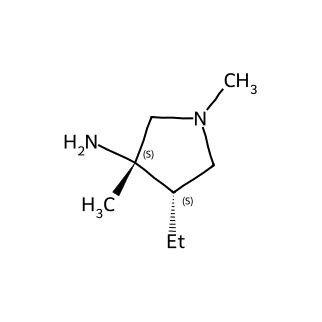 CC[C@H]1CN(C)C[C@@]1(C)N